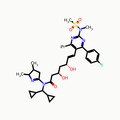 CC(C)c1nc(N(C)S(C)(=O)=O)nc(-c2ccc(F)cc2)c1/C=C/[C@H](O)C[C@@H](O)CC(=O)N(C1=NC(C)C(C)C1)C(C1CC1)C1CC1